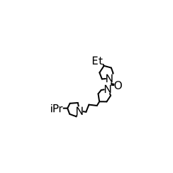 CCC1CCN(C(=O)N2CCC(CCCN3CCC(C(C)C)CC3)CC2)CC1